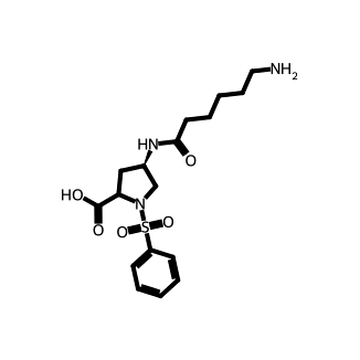 NCCCCCC(=O)N[C@@H]1CC(C(=O)O)N(S(=O)(=O)c2ccccc2)C1